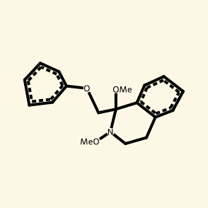 CON1CCc2ccccc2C1(COc1ccccc1)OC